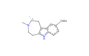 COc1ccc2[nH]c3c(c2c1)C[C@@H](C)N(C)CC3